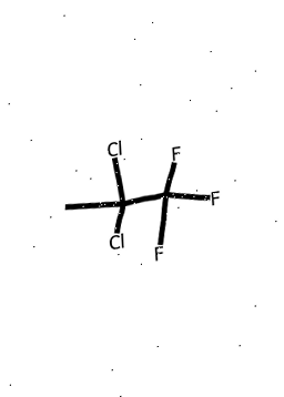 CC(Cl)(Cl)C(F)(F)F